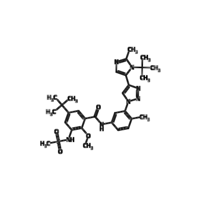 COc1c(NS(C)(=O)=O)cc(C(C)(C)C)cc1C(=O)Nc1ccc(C)c(-n2cc(-c3cnc(C)n3C(C)(C)C)nn2)c1